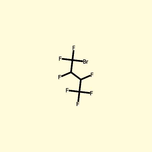 FC(C(F)C(F)(F)Br)C(F)(F)F